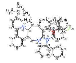 C=C1c2ccc3c(oc4ccccc43)c2-c2n(-c3c(-c4ccccc4)cc(F)c4ccccc34)c3ccccc3[n+]2CC2c3ccccc3-c3ccc([Si](C)(C)C)c[n+]3C12